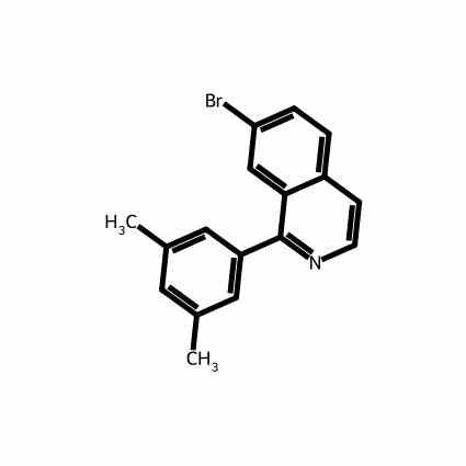 Cc1cc(C)cc(-c2nccc3ccc(Br)cc23)c1